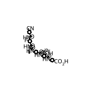 C#CC[C@H](NC(=O)c1ccc(NC(=O)c2ccc(C#N)cc2)c(F)c1)C(=O)Nc1ccc(C(=O)Nc2ccc(C(=O)Nc3ccc(C(=O)O)cc3)c(O)c2OC(C)C)cc1